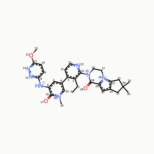 CCc1c(-c2cc(Nc3ccc(OC)nn3)c(=O)n(C)c2)ccnc1N1CCn2c(cc3c2CC(C)(C)C3)C1=O